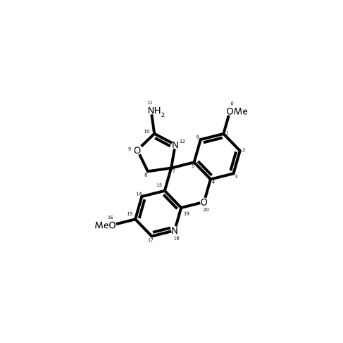 COc1ccc2c(c1)C1(COC(N)=N1)c1cc(OC)cnc1O2